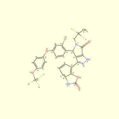 CC(F)(F)CN1C(=O)c2[nH]nc(-c3cccc4[nH]c(=O)oc34)c2C1c1ccc(Oc2ccc(OC(F)(F)F)cc2)cc1Cl